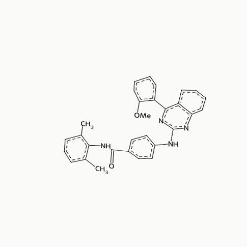 COc1ccccc1-c1nc(Nc2ccc(C(=O)Nc3c(C)cccc3C)cc2)nc2ccccc12